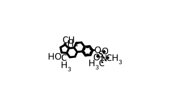 C=C1C[C@H](O)[C@@]2(C)CCC3c4ccc(OS(=O)(=O)N(C)C)cc4CCC3[C@H]12